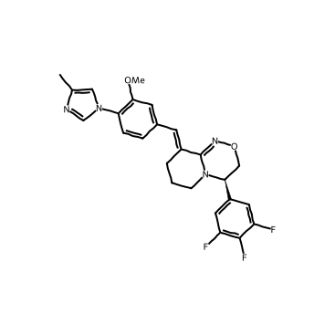 COc1cc(/C=C2\CCCN3C2=NOC[C@H]3c2cc(F)c(F)c(F)c2)ccc1-n1cnc(C)c1